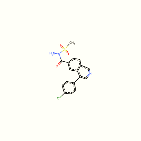 CS(=O)(=O)N(N)C(=O)c1ccc2cncc(-c3ccc(Cl)cc3)c2c1